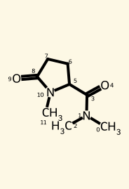 CN(C)C(=O)C1CCC(=O)N1C